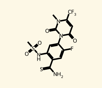 Cn1c(C(F)(F)F)cc(=O)n(-c2cc(NS(C)(=O)=O)c(C(N)=S)cc2F)c1=O